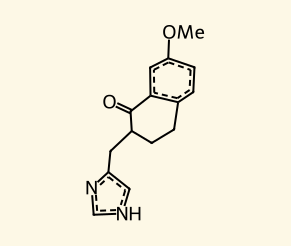 COc1ccc2c(c1)C(=O)C(Cc1c[nH]cn1)CC2